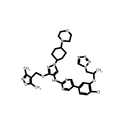 Cc1noc(C)c1COc1nn(C2CCC(N3CCOCC3)CC2)cc1Nc1ncc(-c2ccc(Cl)c(OC(C)Cn3cnnn3)c2)cn1